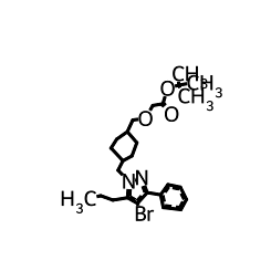 CCCc1c(Br)c(-c2ccccc2)nn1CC1CCC(COCC(=O)OC(C)(C)C)CC1